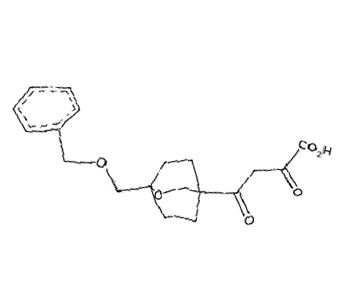 O=C(O)C(=O)CC(=O)C12CCC(COCc3ccccc3)(CC1)OC2